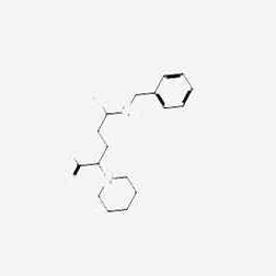 CC(CCC(C(=O)O)N1CCCCC1)NCc1ccccc1